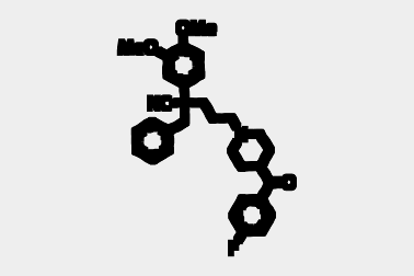 COc1ccc(C(C#N)(CCCN2CCC(C(=O)c3ccc(F)cc3)CC2)Cc2ccccc2)cc1OC